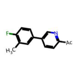 CC(=O)c1ccc(-c2ccc(F)c(C)c2)cn1